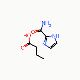 CCCC(=O)O.NC(=O)c1ncc[nH]1